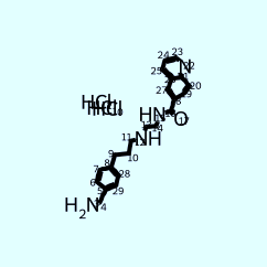 Cl.Cl.Cl.NCc1ccc(CCCNCCNC(=O)c2ccc3ncccc3c2)cc1